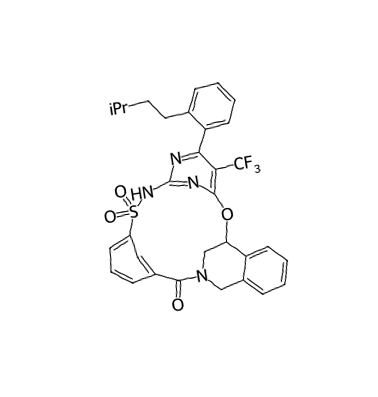 CC(C)CCc1ccccc1-c1nc2nc(c1C(F)(F)F)OC1CN(Cc3ccccc31)C(=O)c1cccc(c1)S(=O)(=O)N2